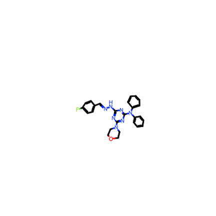 Fc1ccc(/C=N/Nc2nc(N3CCOCC3)nc(N(c3ccccc3)c3ccccc3)n2)cc1